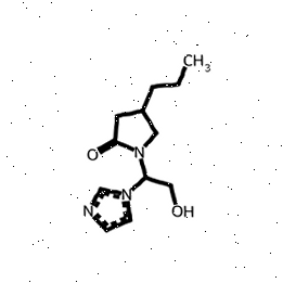 CCCC1CC(=O)N(C(CO)n2ccnc2)C1